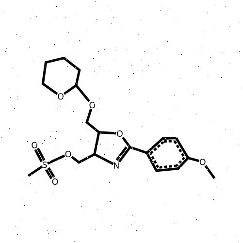 COc1ccc(C2=NC(COS(C)(=O)=O)C(COC3CCCCO3)O2)cc1